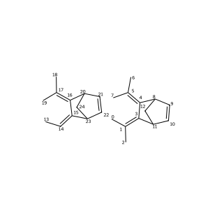 CC(C)=C1C(=C(C)C)C2C=CC1C2.CC=C1C(=C(C)C)C2C=CC1C2